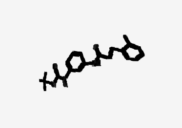 Cc1ccccc1/C=C/C(=O)Nc1cccc(NC(=O)OC(C)(C)C)c1